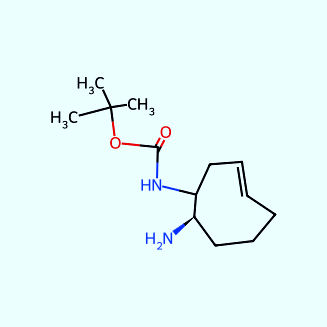 CC(C)(C)OC(=O)NC1C/C=C/CCC[C@H]1N